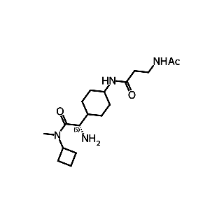 CC(=O)NCCC(=O)NC1CCC([C@H](N)C(=O)N(C)C2CCC2)CC1